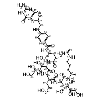 C=C(N)NCCC[C@@H](C)NC(=O)[C@@H](NC(=O)[C@H](CCC(=O)O)NC(=O)[C@@H](NC(=O)CC[C@H](NC(=O)c1ccc(NCc2cnc3nc(N)[nH]c(=O)c3n2)cc1)C(=O)O)[C@@H](O)[C@H](O)[C@H](O)CO)[C@@H](O)[C@H](O)[C@H](O)CO